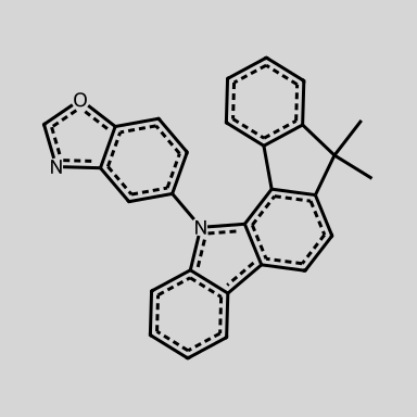 CC1(C)c2ccccc2-c2c1ccc1c3ccccc3n(-c3ccc4ocnc4c3)c21